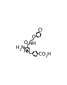 Nc1nn(Cc2ccc(C(=O)O)cc2)cc1C(=O)NCCOc1cccc(Cl)c1